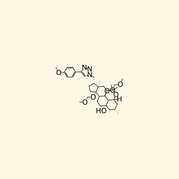 COCO[C@@H]1C[C@]2(C)[C@@H](Cn3cc(-c4ccc(OC)cc4)nn3)CC[C@]2(OCOC)C2CC[C@]3(O)C[C@@H](C)C[C@H]4OC(C)(C)OC[C@]43C21